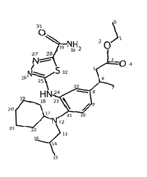 CCOC(=O)CC(C)c1ccc(N(CC(C)C)C2CCCCC2)c(Nc2nnc(C(N)=O)s2)c1